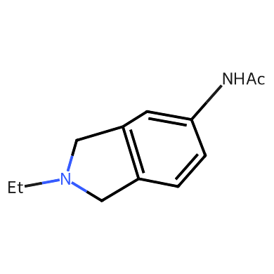 CCN1Cc2ccc(NC(C)=O)cc2C1